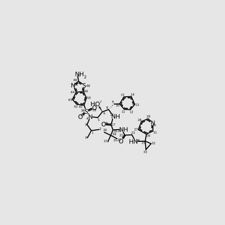 CC(C)CN(C[C@@H](O)[C@H](Cc1ccccc1)NC(=O)C(NC(=O)CNC1(c2cccnc2)CC1)C(C)(C)C)S(=O)(=O)c1ccc2nc(N)sc2c1